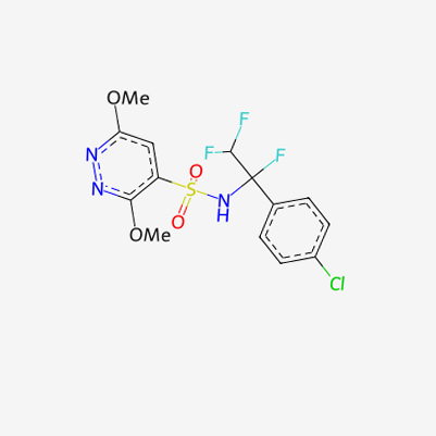 COc1cc(S(=O)(=O)NC(F)(c2ccc(Cl)cc2)C(F)F)c(OC)nn1